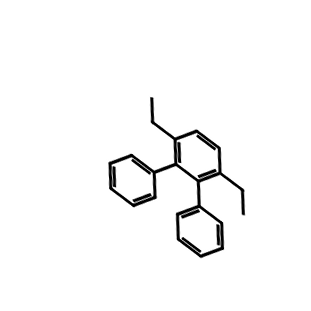 CCc1ccc(CC)c(-c2ccccc2)c1-c1ccccc1